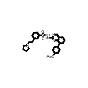 COc1ccc(-c2cccc3cnc(NNS(=O)(=O)c4cccc(CCN5CCCC5)c4)nc23)cc1